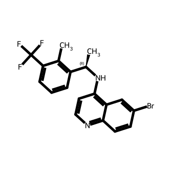 Cc1c([C@@H](C)Nc2ccnc3ccc(Br)cc23)cccc1C(F)(F)F